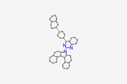 c1ccc2cc(-c3ccc(-c4nc(-n5c6ccc7ccccc7c6c6c7ccccc7ccc65)nc5ccccc45)cc3)ccc2c1